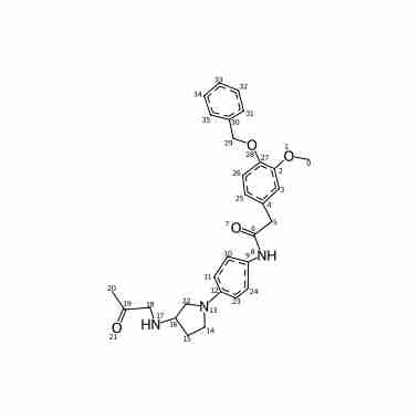 COc1cc(CC(=O)Nc2ccc(N3CCC(NCC(C)=O)C3)cc2)ccc1OCc1ccccc1